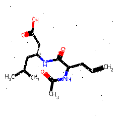 C=CCC(NC(C)=O)C(=O)N[C@H](CC(=O)O)CC(C)C